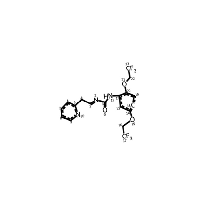 O=C(N=CCc1ccccn1)Nc1cc(OCC(F)(F)F)ccc1OCC(F)(F)F